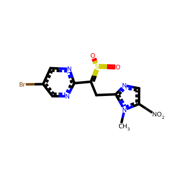 Cn1c([N+](=O)[O-])cnc1CC(c1ncc(Br)cn1)=S(=O)=O